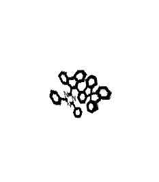 c1ccc(-c2nc(-c3ccccc3)nc(-c3c(-c4cccc5c4-c4ccccc4C54c5ccccc5-c5ccccc54)c4ccccc4c4ccccc34)n2)cc1